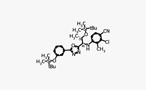 Cc1c(N[C@@H](c2nnc(-c3cccc(O[Si](C)(C)C(C)(C)C)c3)o2)[C@H](C)O[Si](C)(C)C(C)(C)C)ccc(C#N)c1Cl